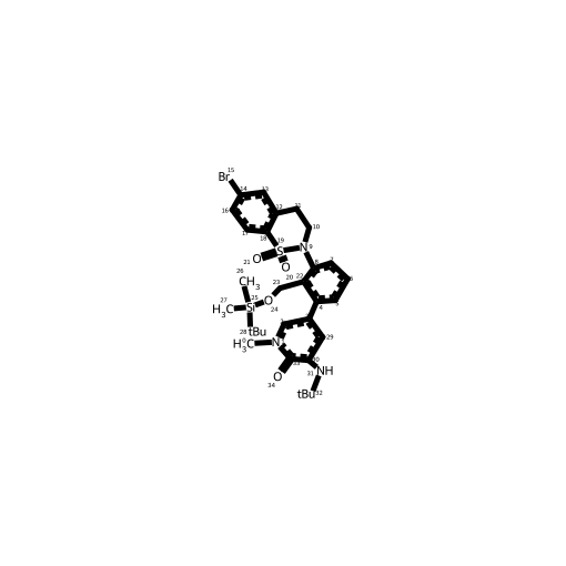 Cn1cc(-c2cccc(N3CCc4cc(Br)ccc4S3(=O)=O)c2CO[Si](C)(C)C(C)(C)C)cc(NC(C)(C)C)c1=O